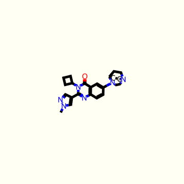 Cn1cc(-c2nc3ccc(N4CCN5CCC4CC5)cc3c(=O)n2C2CCC2)cn1